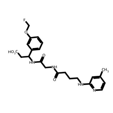 Cc1ccnc(NCCCC(=O)NCC(=O)NC(CC(=O)O)c2cccc(OCF)c2)c1